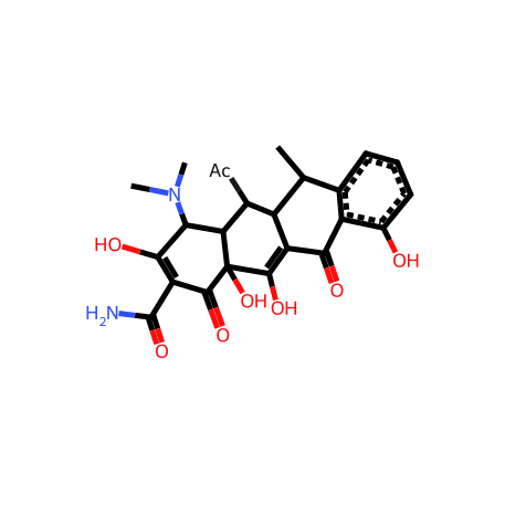 CC(=O)C1C2C(=C(O)C3(O)C(=O)C(C(N)=O)=C(O)C(N(C)C)C13)C(=O)c1c(O)cccc1C2C